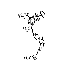 CN(CCN1CCN(c2cc(OCCC[S@+](C)[O-])c(F)cc2F)CC1)c1nc(N)n2nc(-c3ccco3)nc2n1